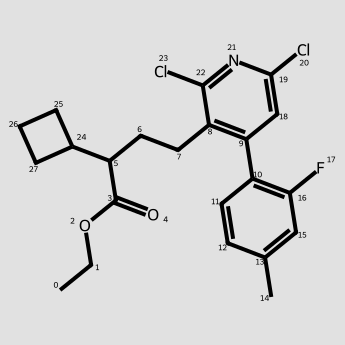 CCOC(=O)C(CCc1c(-c2ccc(C)cc2F)cc(Cl)nc1Cl)C1CCC1